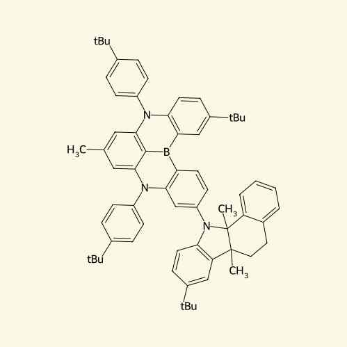 Cc1cc2c3c(c1)N(c1ccc(C(C)(C)C)cc1)c1cc(N4c5ccc(C(C)(C)C)cc5C5(C)CCc6ccccc6C45C)ccc1B3c1cc(C(C)(C)C)ccc1N2c1ccc(C(C)(C)C)cc1